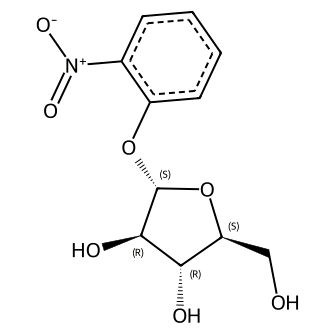 O=[N+]([O-])c1ccccc1O[C@@H]1O[C@@H](CO)[C@H](O)[C@H]1O